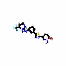 CN1CC(c2ncc(-c3cccc(Nc4nccc(C(F)(F)F)n4)c3)s2)CCC1=O